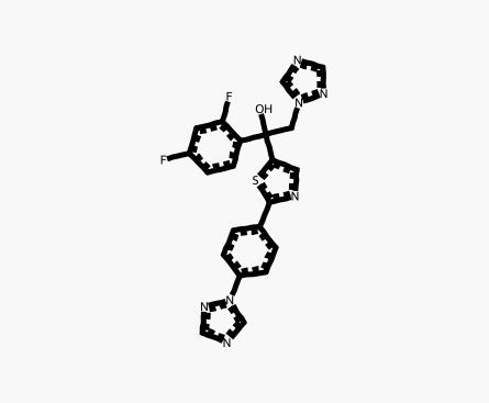 OC(Cn1cncn1)(c1cnc(-c2ccc(-n3cncn3)cc2)s1)c1ccc(F)cc1F